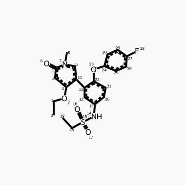 CCOc1cc(=O)n(C)cc1-c1cc(NS(=O)(=O)CC)ccc1Oc1ccc(F)cc1